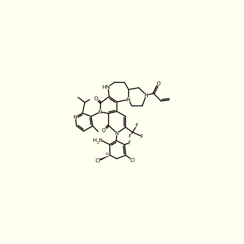 C=CC(=O)N1CCN2c3c(c(=O)n(-c4c(C)ccnc4C(C)C)c4c(=O)n(C5=C(N)[C@H](Cl)CC(Cl)=C5F)c(C(F)(F)F)cc34)NCCC2C1